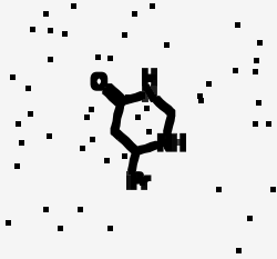 CC(C)C1CC(=O)NCN1